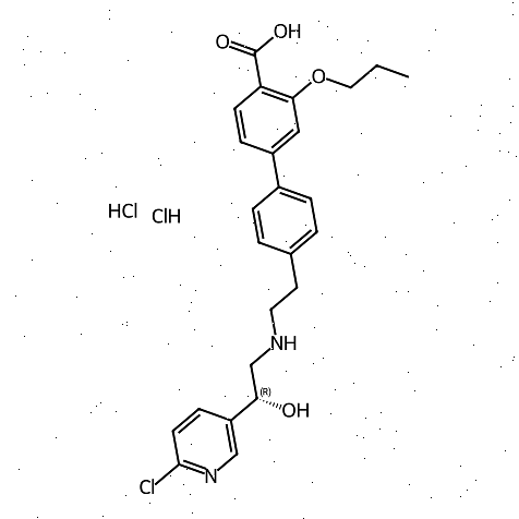 CCCOc1cc(-c2ccc(CCNC[C@H](O)c3ccc(Cl)nc3)cc2)ccc1C(=O)O.Cl.Cl